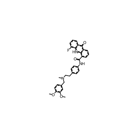 COc1ccc(CN(C)CCc2ccc(NC(=O)c3cccc4c(=O)c5cccc(F)c5[nH]c34)cc2)cc1OC